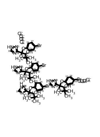 CC(C)(C)C(O)[C]([Cu+2])(Oc1ccc(Br)cc1)c1nc[nH]n1.CC(C)(C)C(O)[C]([Cu+2])(Oc1ccc(Br)cc1)c1nc[nH]n1.CC(C)(C)C(O)[C]([Cu+2])(Oc1ccc(Br)cc1)c1nc[nH]n1.CC(C)(C)C(O)[C]([Cu+2])(Oc1ccc(Br)cc1)c1nc[nH]n1.[Cl-].[Cl-].[Cl-].[Cl-].[Cl-].[Cl-].[Cl-].[Cl-]